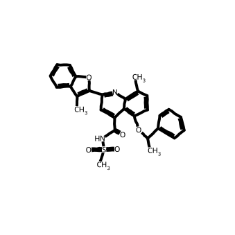 Cc1c(-c2cc(C(=O)NS(C)(=O)=O)c3c(OC(C)c4ccccc4)ccc(C)c3n2)oc2ccccc12